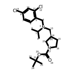 CC(C)N(Cc1ccc(Cl)cc1Cl)C[C@H]1CCN(C(=O)OC(C)(C)C)C1